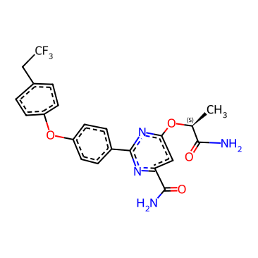 C[C@H](Oc1cc(C(N)=O)nc(-c2ccc(Oc3ccc(CC(F)(F)F)cc3)cc2)n1)C(N)=O